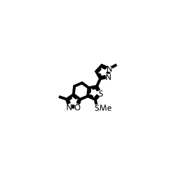 CSc1sc(-c2ccn(C)n2)c2c1-c1onc(C)c1CC2